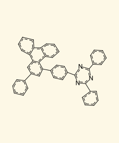 c1ccc(-c2cc(-c3ccc(-c4nc(-c5ccccc5)nc(-c5ccccc5)n4)cc3)c3c4ccccc4c4ccccc4c3c2)cc1